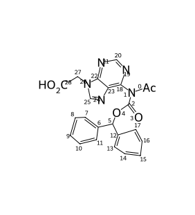 CC(=O)N(C(=O)OC(c1ccccc1)c1ccccc1)c1ncnc2c1ncn2CC(=O)O